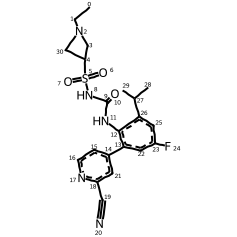 CCN1CC(S(=O)(=O)NC(=O)Nc2c(-c3ccnc(C#N)c3)cc(F)cc2C(C)C)C1